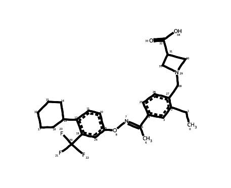 CCc1cc(/C(C)=N/Oc2ccc(C3CCCCC3)c(C(F)(F)F)c2)ccc1CN1CC(C(=O)O)C1